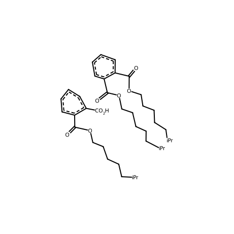 CC(C)CCCCCOC(=O)c1ccccc1C(=O)O.CC(C)CCCCCOC(=O)c1ccccc1C(=O)OCCCCCC(C)C